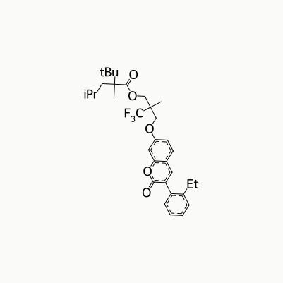 CCc1ccccc1-c1cc2ccc(OCC(C)(COC(=O)C(C)(CC(C)C)C(C)(C)C)C(F)(F)F)cc2oc1=O